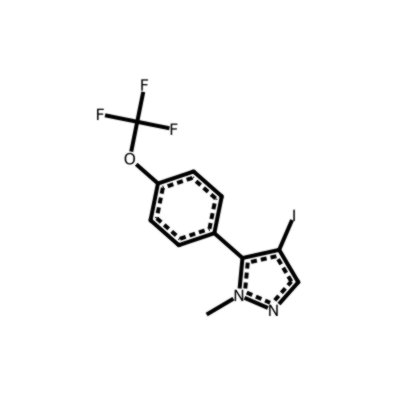 Cn1ncc(I)c1-c1ccc(OC(F)(F)F)cc1